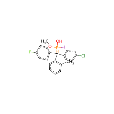 CO[PH](O)(I)C(c1ccc(F)cc1)(c1ccc(Cl)cc1)c1ccccc1C